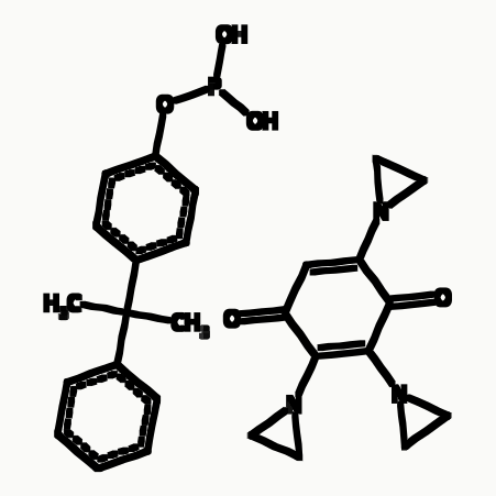 CC(C)(c1ccccc1)c1ccc(OP(O)O)cc1.O=C1C=C(N2CC2)C(=O)C(N2CC2)=C1N1CC1